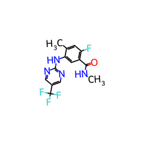 CNC(=O)c1cc(Nc2ncc(C(F)(F)F)cn2)c(C)cc1F